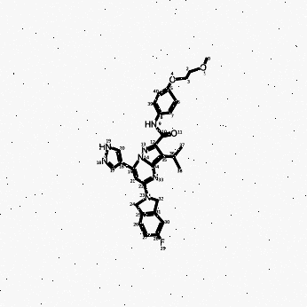 COCCOc1ccc(NC(=O)c2nn3c(-c4cn[nH]c4)cc(N4Cc5ccc(F)cc5C4)nc3c2C(C)C)cc1